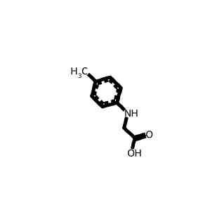 Cc1ccc(NCC(=O)O)cc1